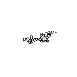 COc1cc(Nc2c(C#N)cnc3cc(OCc4cc(F)c5c(c4)C(=O)N(C4CCC(=O)NC4=O)C5=O)c(OC)cc23)c(Cl)cc1Cl